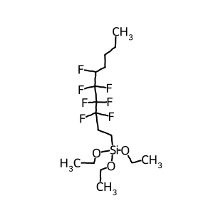 CCCCC(F)C(F)(F)C(F)(F)C(F)(F)CC[Si](OCC)(OCC)OCC